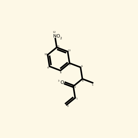 C=CC(=O)C(C)Cc1cccc([N+](=O)[O-])c1